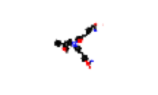 Cc1ccc(/C(=C\c2ccc(N(c3ccc(/C=C/c4ccc(/C=C(\C#N)C(=O)O)cc4)cc3)c3ccc(/C=C/c4ccc(/C=C(\C#N)C(=O)O)cc4)cc3)cc2)c2ccccc2)cc1C